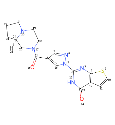 O=C(c1cnn(-c2nc3sccc3c(=O)[nH]2)c1)N1CCN2CCC[C@@H]2C1